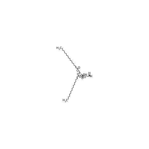 [2H]NCCOP(=O)(O)OC[C@@H](COC(=O)C=CCCCCCCCCCCCCCCC)OC(=O)C=CCCCCCCCCCCCCCCC